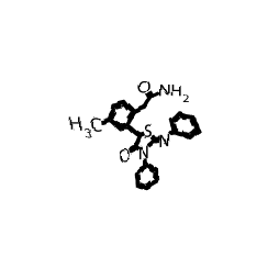 Cc1ccc(CC(N)=O)c(C2SC(=Nc3ccccc3)N(c3ccccc3)C2=O)c1